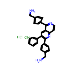 Cl.Cl.NCc1ccc(-c2nc3ccnc(-c4ccc(CN)cc4)c3cc2-c2ccccc2)cc1